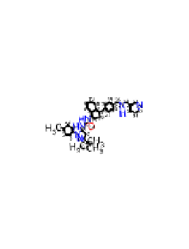 Cc1ccc(-n2nc(C(C)(C)C)cc2NC(=O)Nc2ccc(-c3ccc(CNCc4cccnc4)cc3)c3ccccc23)cc1